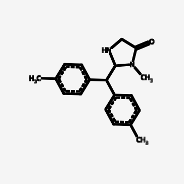 Cc1ccc(C(c2ccc(C)cc2)C2NCC(=O)N2C)cc1